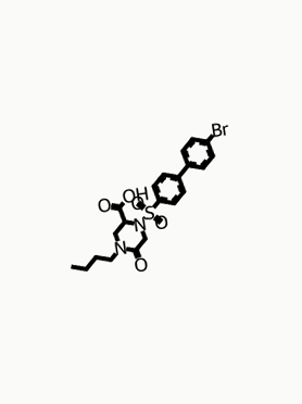 CCCCN1CC(C(=O)O)N(S(=O)(=O)c2ccc(-c3ccc(Br)cc3)cc2)CC1=O